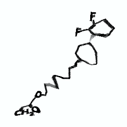 C=CC(=O)OCCCCCCC[C@H]1CC[C@H](c2cccc(F)c2F)CC1